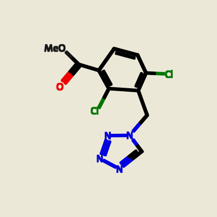 COC(=O)c1ccc(Cl)c(Cn2cnnn2)c1Cl